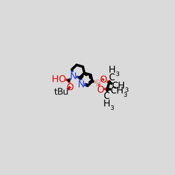 CC(C)(C)OC(O)N1CCCc2cc(B3OC(C)(C)C(C)(C)O3)cnc21